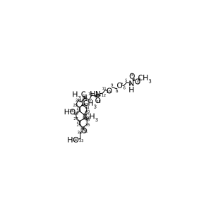 COC(=O)NCCOCCOCCNC(=O)CC[C@@H](C)C1CCC2C3C(O)CC4CC(OCCO)CCC4(C)C3CCC21C